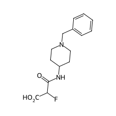 O=C(O)C(F)C(=O)NC1CCN(Cc2ccccc2)CC1